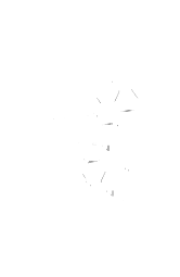 C[C@H](Nc1ncnc(N)c1C#N)c1nc2cccc(Cl)c2c(=O)n1[C@H]1C[C@@H](O)C1